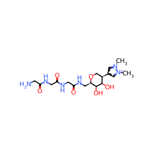 Cn1cc([C@@H]2CO[C@H](CNC(=O)CNC(=O)CNC(=O)CN)[C@H](O)[C@@H]2O)c[n+]1C